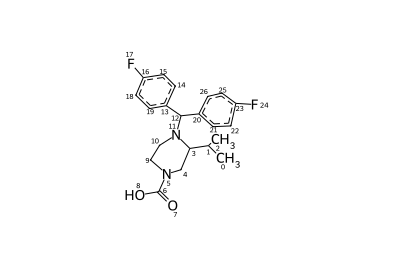 CC(C)C1CN(C(=O)O)CCN1C(c1ccc(F)cc1)c1ccc(F)cc1